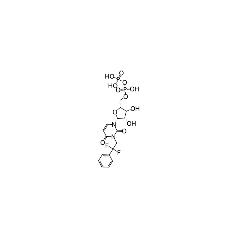 O=c1ccn([C@@H]2O[C@H](COP(=O)(O)OP(=O)(O)O)C(O)[C@@H]2O)c(=O)n1CC(F)(F)c1ccccc1